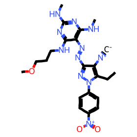 [C-]#[N+]c1c(N=Nc2c(NC)nc(NC)nc2NCCCOC)nn(-c2ccc([N+](=O)[O-])cc2)c1CC